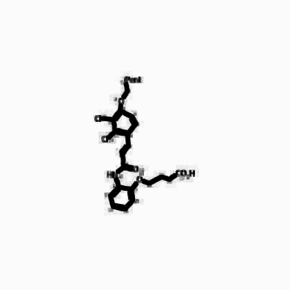 CCCC(C)COc1ccc(C=CC(=O)Nc2ccccc2OCCCC(=O)O)c(Cl)c1Cl